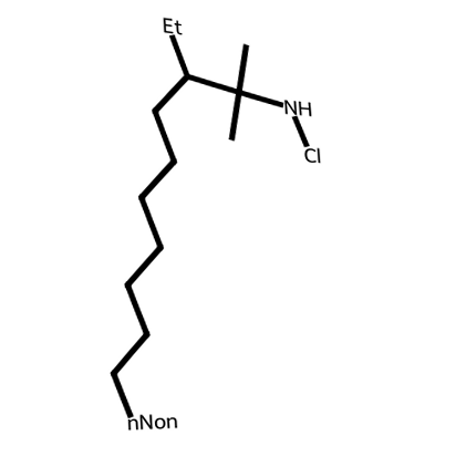 CCCCCCCCCCCCCCCCC(CC)C(C)(C)NCl